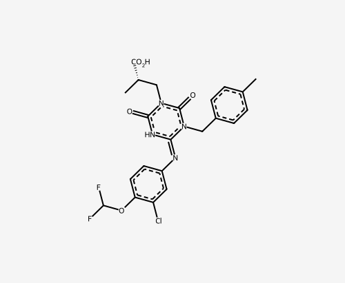 Cc1ccc(Cn2c(=O)n(C[C@H](C)C(=O)O)c(=O)[nH]/c2=N\c2ccc(OC(F)F)c(Cl)c2)cc1